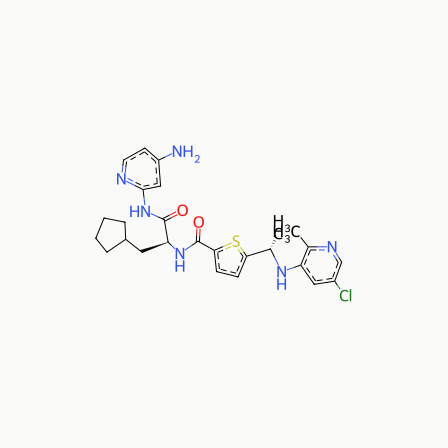 Cc1ncc(Cl)cc1N[C@@H](C)c1ccc(C(=O)N[C@@H](CC2CCCC2)C(=O)Nc2cc(N)ccn2)s1